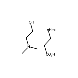 CCCCCCCCC(=O)O.CN(C)CCO